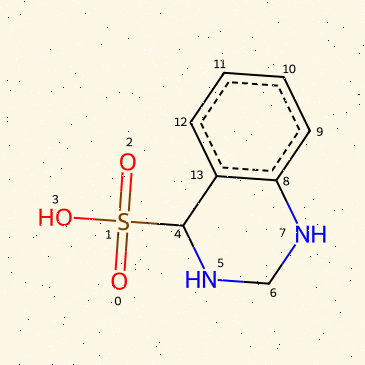 O=S(=O)(O)C1NCNc2ccccc21